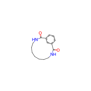 O=C1NCCCCCCCNC(=O)c2cccc1c2